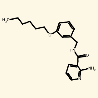 CCCCCCOc1cccc(CNC(=O)c2cccnc2N)c1